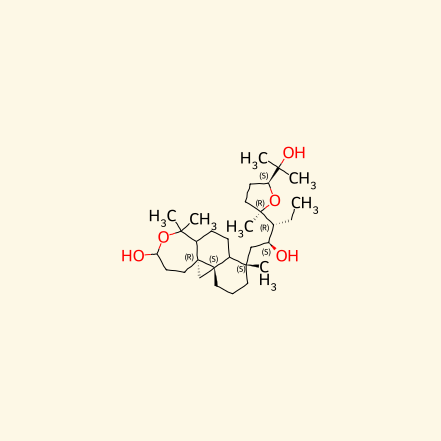 CC[C@H]([C@@H](O)C[C@]1(C)CCC[C@@]23C[C@@]24CCC(O)OC(C)(C)C4CCC13)[C@@]1(C)CC[C@@H](C(C)(C)O)O1